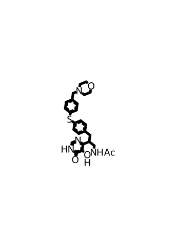 CC(=O)NCC(Cc1ccc(Sc2ccc(CN3CCOCC3)cc2)cc1)c1nc[nH]c(=O)c1O